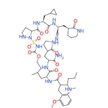 CCCC(NC)C(Cc1c(C)cccc1OC)C(=O)NC(CC(C)CCOC(=O)NS(=O)(=O)N1NCCC1C(=O)N[C@@H](CC1CC1)C(=O)N[C@H](C#N)C[C@@H]1CCCNC1=O)C(=O)NC(CC1CCNC1=O)C(N)=O